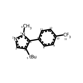 Cn1ncc(C(C)(C)C)c1-c1ccc(C(F)(F)F)cc1